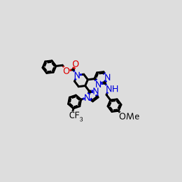 COc1ccc(CNc2nccc(C3CN(C(=O)OCc4ccccc4)CCC3c3nccn3-c3cccc(C(F)(F)F)c3)n2)cc1